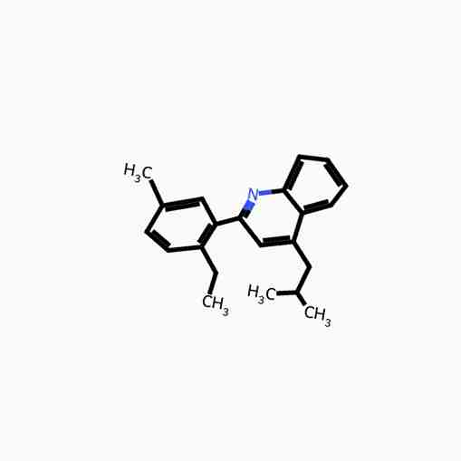 CCc1ccc(C)cc1-c1cc(CC(C)C)c2ccccc2n1